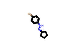 Brc1ccc(NN=C2CCCC2)cc1